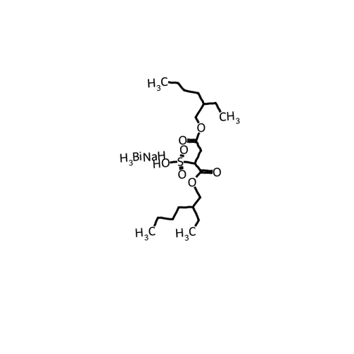 CCCCC(CC)COC(=O)CC(C(=O)OCC(CC)CCCC)S(=O)(=O)O.[BiH3].[NaH]